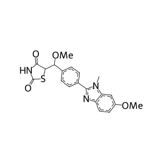 COc1ccc2nc(-c3ccc(C(OC)C4SC(=O)NC4=O)cc3)n(C)c2c1